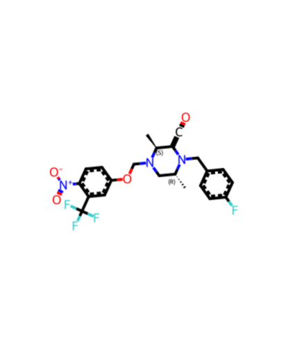 C[C@@H]1CN(COc2ccc([N+](=O)[O-])c(C(F)(F)F)c2)[C@@H](C)C(=C=O)N1Cc1ccc(F)cc1